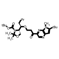 CC(C)C[C@@H](OCCC(=O)c1cnc2cc(C(C)(C)C)n(C)c2n1)[C@@H]1COC(C)(C)N1C(=O)OC(C)(C)C